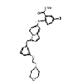 COC(=O)c1cc(Cl)ccc1NC1=CCC2C(=C1)C=CN2Cc1cccc(OCCN2CCOCC2)c1